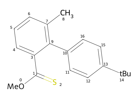 COC(=S)c1cccc(C)c1-c1ccc(C(C)(C)C)cc1